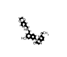 COc1ccc2ncc(=O)n(-c3ccc4c(c3)CCCC4CNCc3cc4c(cn3)OCCO4)c2n1.Cl